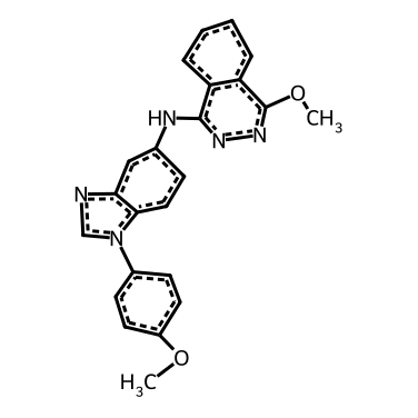 COc1ccc(-n2cnc3cc(Nc4nnc(OC)c5ccccc45)ccc32)cc1